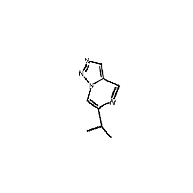 CC(C)c1cn2nncc2cn1